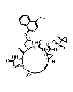 COc1cnc(O[C@@H]2C[C@H]3C(=O)N[C@]4(C(=O)NS(=O)(=O)C5(C)CC5)C[C@H]4C=CCC[C@@H](C)O[C@@H](C)[C@H](NC(=O)O)C(=O)N3C2)c2ccccc12